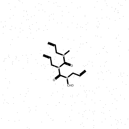 C=CCN(C)C(=O)N(CC=C)C(=O)N(C=O)CC=C